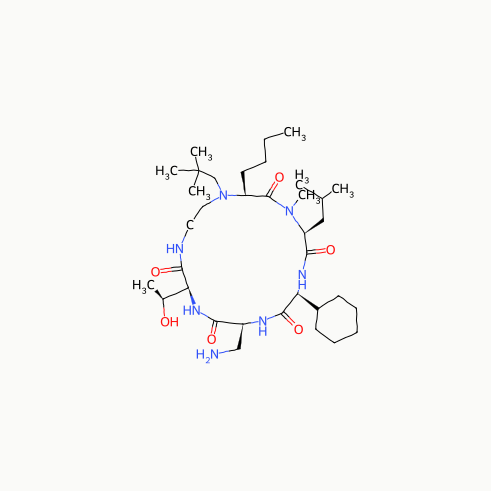 CCCC[C@H]1C(=O)N(C)[C@@H](CC(C)C)C(=O)N[C@@H](C2CCCCC2)C(=O)N[C@@H](CN)C(=O)N[C@@H]([C@H](C)O)C(=O)NCCN1CC(C)(C)C